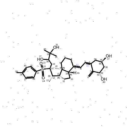 C=C1/C(=C\C=C2/CCC[C@]3(C)[C@@H]([C@H](C)C(CC(O)C(C)(C)O)S(=O)(=O)c4ccc(C)cc4)CC[C@@H]23)C[C@@H](O)C[C@@H]1O